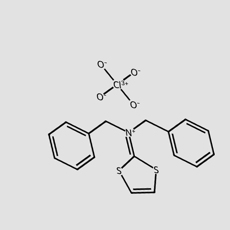 [O-][Cl+3]([O-])([O-])[O-].c1ccc(C[N+](Cc2ccccc2)=c2sccs2)cc1